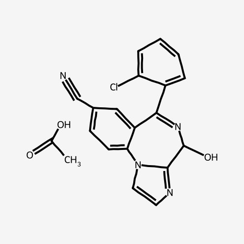 CC(=O)O.N#Cc1ccc2c(c1)C(c1ccccc1Cl)=NC(O)c1nccn1-2